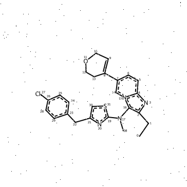 CCc1nc2ccc(C3=CCOCC3)cn2c1N(C)c1nc(Cc2ccc(Cl)cc2)cs1